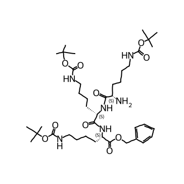 CC(C)(C)OC(=O)NCCCC[C@H](NC(=O)[C@@H](N)CCCCNC(=O)OC(C)(C)C)C(=O)N[C@@H](CCCCNC(=O)OC(C)(C)C)C(=O)OCc1ccccc1